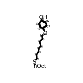 CCCCCCCCSCCCCCCCCOc1ccc(O)cc1